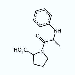 CC(Nc1ccccc1)C(=O)N1CCCC1C(=O)O